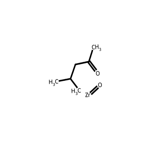 CC(=O)CC(C)C.[O]=[Zr]